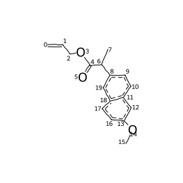 C=CCOC(=O)C(C)c1ccc2cc(OC)ccc2c1